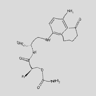 CC(C)[C@H](OC(N)=O)C(=O)N[C@H](C=O)CNc1ccc(N)c2c1CCCC2=O